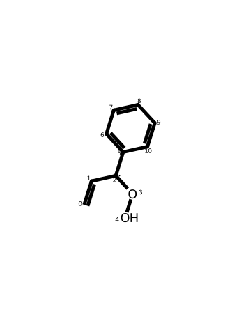 C=C[C](OO)c1ccccc1